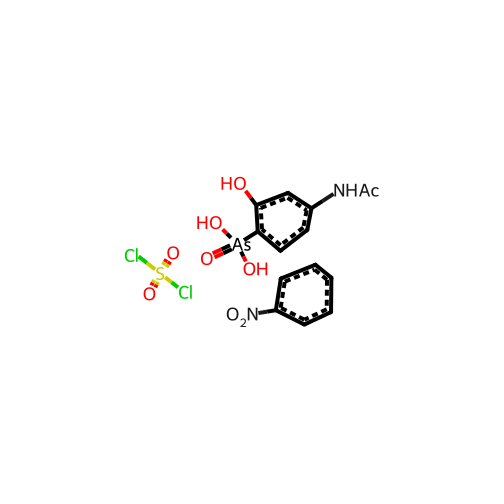 CC(=O)Nc1ccc([As](=O)(O)O)c(O)c1.O=S(=O)(Cl)Cl.O=[N+]([O-])c1ccccc1